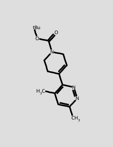 Cc1cc(C)c(C2=CCN(C(=O)OC(C)(C)C)CC2)nn1